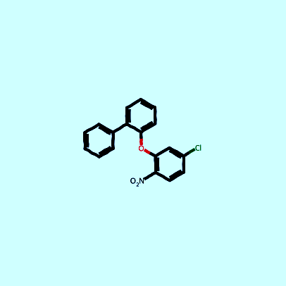 O=[N+]([O-])c1ccc(Cl)cc1Oc1ccccc1-c1ccccc1